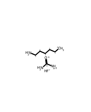 CCCCCCN.F.NC(N)=O